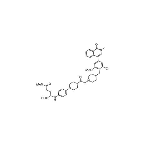 CNC(=O)CCC(C=O)Nc1ccc(N2CCC(C(=O)CN3CCC(Cc4c(Cl)cc(-c5cn(C)c(=O)c6ccccc56)cc4OC)CC3)CC2)cc1